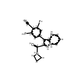 N#Cc1c(F)cc(-c2c(C(=O)N3CCC3)nn3cccnc23)cc1F